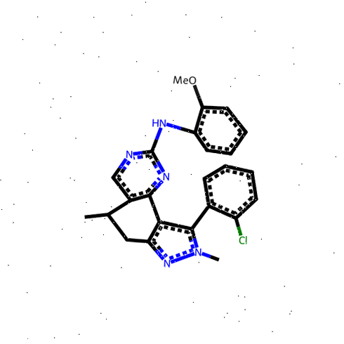 COc1ccccc1Nc1ncc2c(n1)-c1c(nn(C)c1-c1ccccc1Cl)CC2C